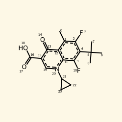 Cc1c(F)c(C(C)(C)C)c(F)c2c1c(=O)c(C(=O)O)cn2C1CC1